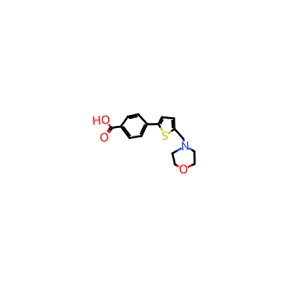 O=C(O)c1ccc(-c2ccc(CN3CCOCC3)s2)cc1